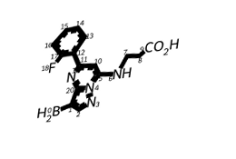 Bc1cnn2c(NCCC(=O)O)cc(-c3ccccc3F)nc12